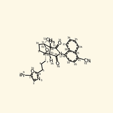 CC(C)c1cnc(CCC[C@]23CC[C@](C)(O2)[C@@H]2C(=O)N(c4ccc(C#N)c5ccccc45)C(=O)[C@@H]23)o1